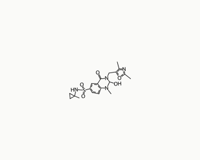 Cc1nc(C)c(CN2C(=O)c3cc(S(=O)(=O)NC4(C)CC4)ccc3N(C)C2O)o1